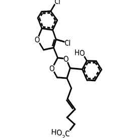 O=C(O)CCC=CCC1COC(C2=C(Cl)c3cc(Cl)ccc3OC2)OC1c1ccccc1O